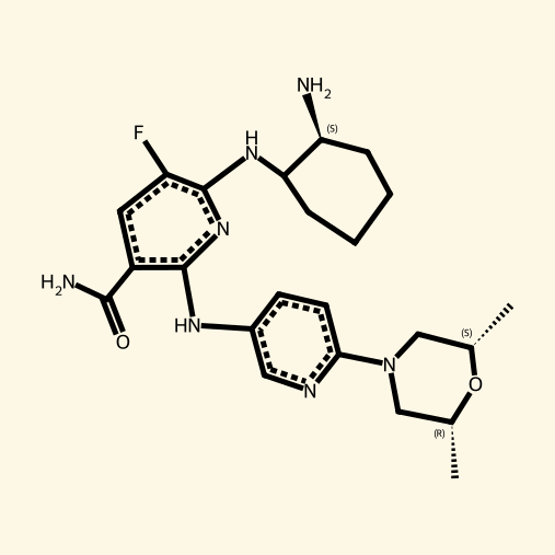 C[C@@H]1CN(c2ccc(Nc3nc(NC4CCCC[C@@H]4N)c(F)cc3C(N)=O)cn2)C[C@H](C)O1